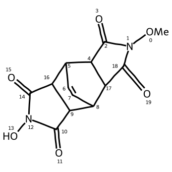 CON1C(=O)C2C3C=CC(C4C(=O)N(O)C(=O)C34)C2C1=O